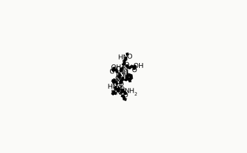 CCCC[C@H](NC(=O)[C@H](CC(C)C)NC(=O)[C@@H](NC(=O)[C@H](Cc1ccccc1C)NC(=O)[C@H](CCC(=O)O)NC(=O)[C@H](CCCCNC(C)=O)NC(=O)CCC(=O)O)C(C)(C)C)C(=O)C(N)=O